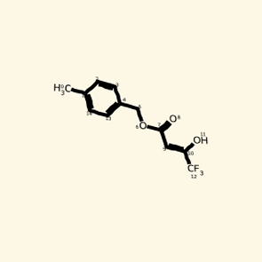 Cc1ccc(COC(=O)/C=C(\O)C(F)(F)F)cc1